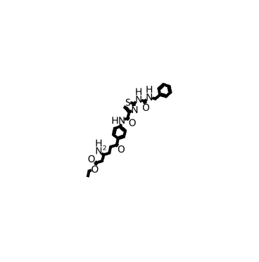 CCOC(=O)CC(N)CCC(=O)c1ccc(NC(=O)c2csc(NC(=O)NCc3ccccc3)n2)cc1